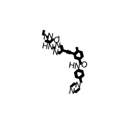 CCn1cc(Nc2ncc(C#Cc3cc(C(=O)Nc4ccc(CN5CCN(C)CC5)cc4)ccc3C)cn2)c(OC)n1